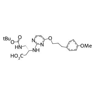 COc1ccc(CCCOc2ccnc(N[C@@H](CNC(=O)OC(C)(C)C)CC(=O)O)n2)cc1